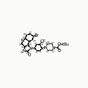 Cn1c(=O)n(-c2ccc(N3CCN(C(=O)OC(C)(C)C)CC3)c(C(F)(F)F)c2)c2c3cc(Br)ccc3ncc21